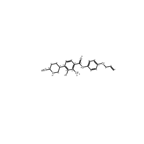 C=CCOc1ccc(OC(=O)c2ccc(C3CCC(CCC)OC3)c(F)c2C(F)(F)F)cc1